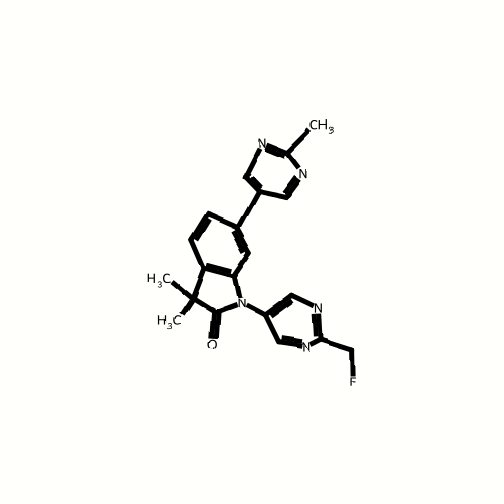 Cc1ncc(-c2ccc3c(c2)N(c2cnc(CF)nc2)C(=O)C3(C)C)cn1